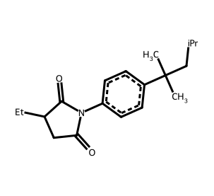 CCC1CC(=O)N(c2ccc(C(C)(C)CC(C)C)cc2)C1=O